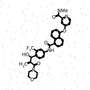 C=C(C(=O)N1CCOCC1)C(O)c1ccc(NC(=O)c2cccc3c(Oc4ccnc(C(=O)NC)c4)cccc23)cc1C(F)(F)F